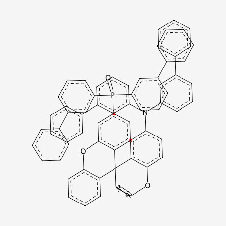 O=P(c1cccc(-c2ccccc2)c1)(c1cccc(-c2ccccc2)c1)c1ccc2c(c1)Oc1ccccc1C21c2ccccc2Oc2ccc(N(c3cccc(-c4ccccc4)c3)c3cccc(-c4ccccc4)c3)cc21